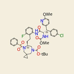 COC(=O)NC(C(=O)Nc1cccc(F)c1CC[C@H]1CN(C(=O)OC(C)(C)C)CC2(CC2)CN1S(=O)(=O)c1ccccc1)[C@@H](c1ccc(Cl)cc1)c1ccc(OC)nc1